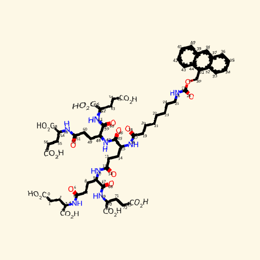 O=C(O)CCC(NC(=O)CCC(NC(=O)CCC(NC(=O)CCCCCCCNC(=O)OCc1c2ccccc2cc2ccccc12)C(=O)NC(CCC(=O)NC(CCC(=O)O)C(=O)O)C(=O)NC(CCC(=O)O)C(=O)O)C(=O)NC(CCC(=O)O)C(=O)O)C(=O)O